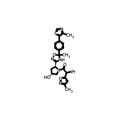 Cc1cc(C(C(=O)N2C[C@H](O)C[C@H]2C2=NOC(C)(c3ccc(-c4scnc4C)cc3)N2)C(C)C)on1